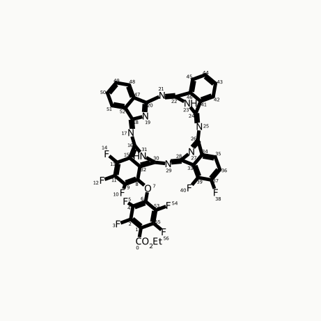 CCOC(=O)c1c(F)c(F)c(Oc2c(F)c(F)c(F)c3c4nc5nc(nc6[nH]c(nc7nc(nc([nH]4)c23)-c2c-7ccc(F)c2F)c2ccccc62)-c2ccccc2-5)c(F)c1F